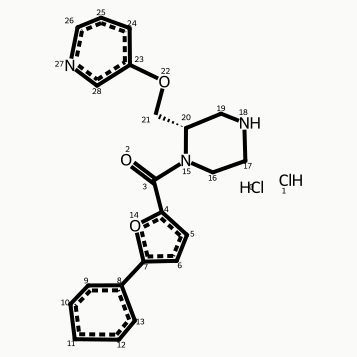 Cl.Cl.O=C(c1ccc(-c2ccccc2)o1)N1CCNC[C@H]1COc1cccnc1